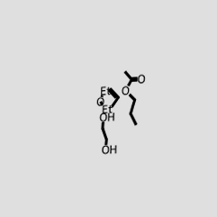 C=CC.CCCOC(C)=O.CCOCC.OCCO